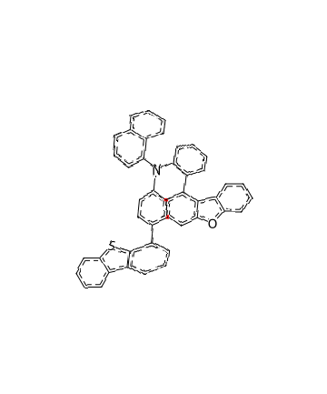 c1ccc(N(c2ccc(-c3cccc4c3sc3ccccc34)cc2)c2cccc3ccccc23)c(-c2cccc3oc4ccccc4c23)c1